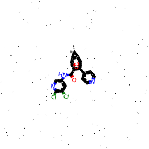 C[C@H]1c2c1c1oc2c(C(=O)Nc2cnc(Cl)c(Cl)c2)c1-c1ccncc1